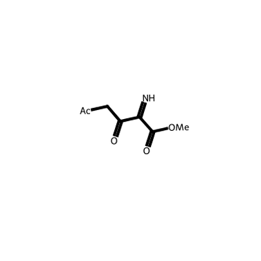 COC(=O)C(=N)C(=O)CC(C)=O